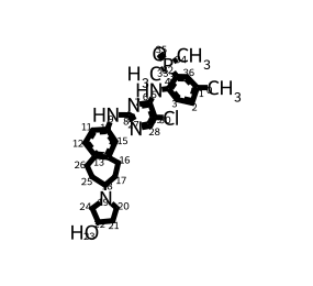 Cc1ccc(Nc2nc(Nc3ccc4c(c3)CC[C@H](N3CC[C@@H](O)C3)CC4)ncc2Cl)c(P(C)(C)=O)c1